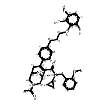 COc1ccccc1CN(C(=O)C1=C(c2ccc(CCCOc3c(F)ccc(F)c3F)cc2)CC2CN(C(C)=O)C[C@H]1N2)C1CC1